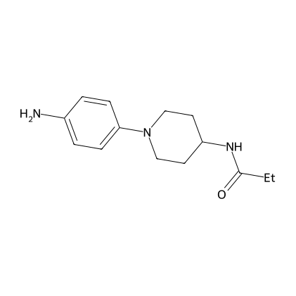 CCC(=O)NC1CCN(c2ccc(N)cc2)CC1